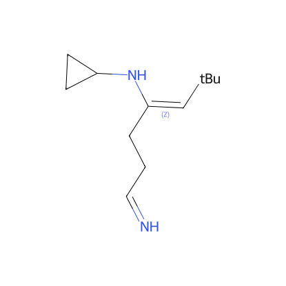 CC(C)(C)/C=C(/CCC=N)NC1CC1